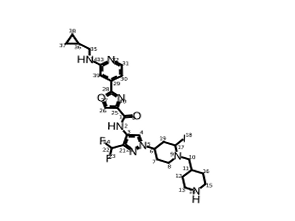 O=C(Nc1cn(C2CCN(CC3CCNCC3)C(I)C2)nc1C(F)F)c1coc(-c2ccnc(NCC3CC3)c2)n1